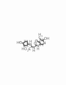 Cn1c(O)ncc(NC(=O)N[C@H](Nc2ccc(O)cc2)C(=O)O)c1=O